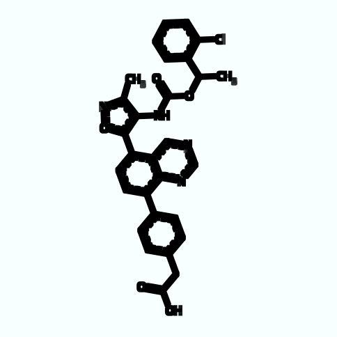 Cc1noc(-c2ccc(-c3ccc(CC(=O)O)cc3)c3ncncc23)c1NC(=O)OC(C)c1ccccc1Cl